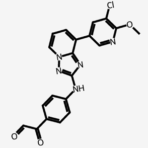 COc1ncc(-c2cccn3nc(Nc4ccc(C(=O)C=O)cc4)nc23)cc1Cl